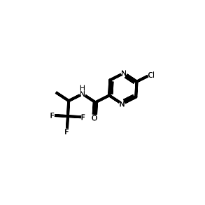 CC(NC(=O)c1cnc(Cl)cn1)C(F)(F)F